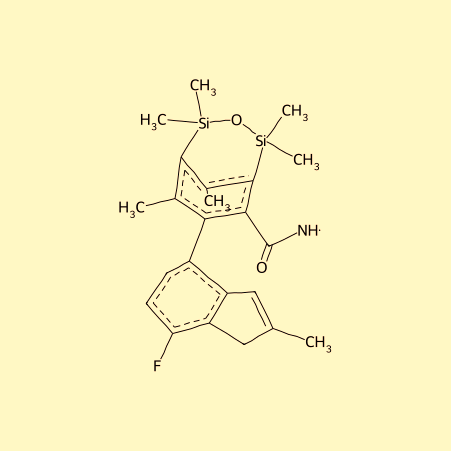 CC1=Cc2c(-c3c(C)c4c(C)c(c3C([NH])=O)[Si](C)(C)O[Si]4(C)C)ccc(F)c2C1